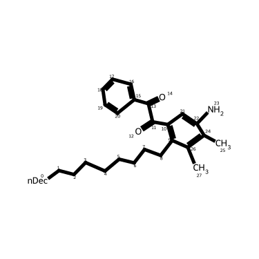 CCCCCCCCCCCCCCCCCCc1c(C(=O)C(=O)c2ccccc2)cc(N)c(C)c1C